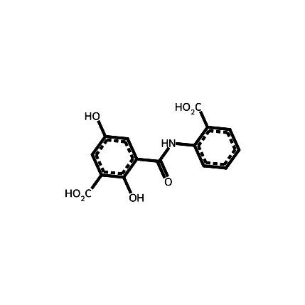 O=C(O)c1ccccc1NC(=O)c1cc(O)cc(C(=O)O)c1O